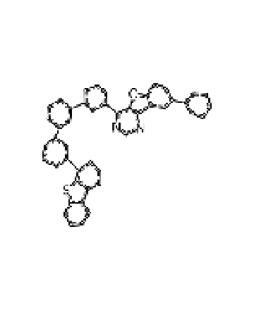 c1ccc(-c2ccc3oc4c(-c5cccc(-c6cccc(-c7cccc(-c8cccc9c8sc8ccccc89)c7)c6)c5)ncnc4c3c2)cc1